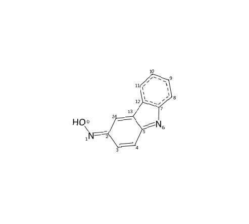 ON=C1C=CC2=Nc3ccccc3C2=C1